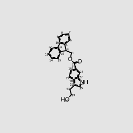 O=C(OCC1c2ccccc2-c2ccccc21)c1ccc2c(CCO)c[nH]c2c1